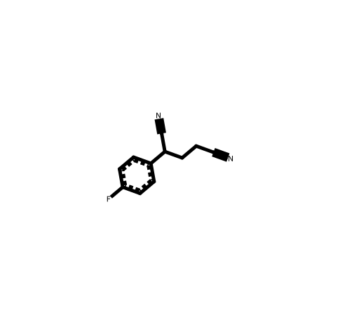 N#CCCC(C#N)c1ccc(F)cc1